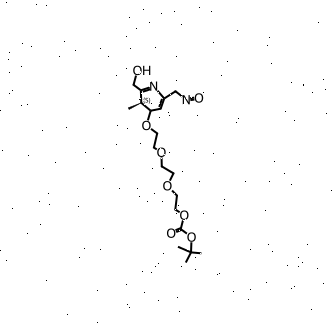 C[C@H]1C(CO)=NC(CN=O)=CC1OCCOCCOCCOC(=O)OC(C)(C)C